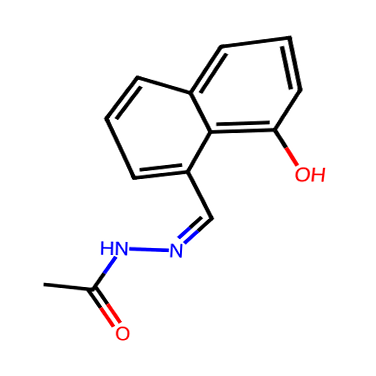 CC(=O)N/N=C\c1cccc2cccc(O)c12